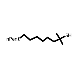 CCCCCCCCCCCC(C)(C)S